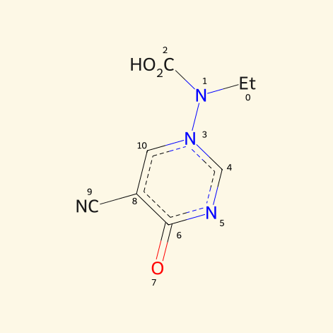 CCN(C(=O)O)n1cnc(=O)c(C#N)c1